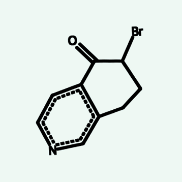 O=C1c2ccncc2CCC1Br